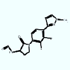 Cn1ccc(-c2ccc(N3CCC(NC=O)C3=O)c(F)c2F)n1